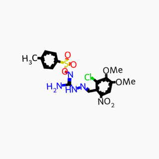 COc1cc([N+](=O)[O-])c(C=NNC(N)=NOS(=O)(=O)c2ccc(C)cc2)c(Cl)c1OC